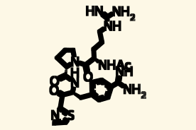 CC(=O)N[C@H](CCCNC(=N)N)C(=O)N1CCC[C@H]1C(=O)N[C@@H](Cc1ccc(C(=N)N)cc1)C(=O)c1nccs1